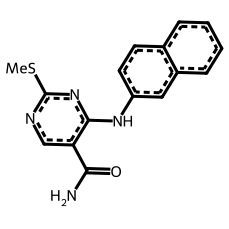 CSc1ncc(C(N)=O)c(Nc2ccc3ccccc3c2)n1